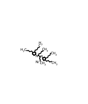 CCCCCC(=Nc1ccc(CCCCC)c(CCCCC)c1)C(CCCC)=Nc1ccc(CCCCC)c(CCCCC)c1.[Ni]